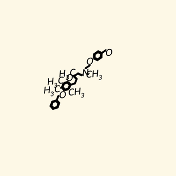 Cc1c(C)c2c(c(C)c1OCc1ccccc1)CCC(C)(CCN(C)CCOc1ccc(C=O)cc1)O2